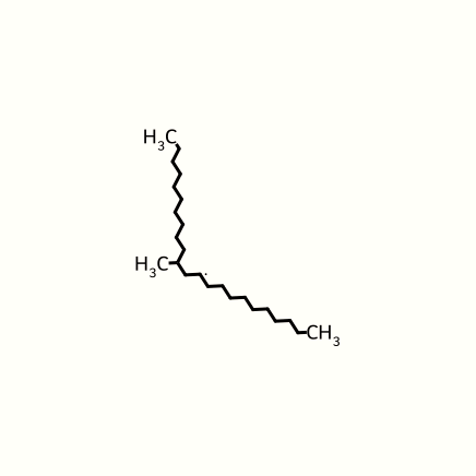 CCCCCCCCCC[CH]CC(C)CCCCCCCCCC